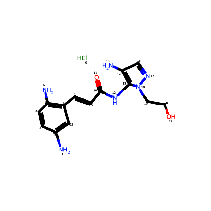 Cl.Nc1ccc(N)c(C=CC(=O)Nc2c(N)cnn2CCO)c1